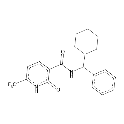 O=C(NC(c1ccccc1)C1CCCCC1)c1ccc(C(F)(F)F)[nH]c1=O